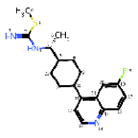 CSC(=N)N[C@H](C)C1CCC(c2ccnc3ccc(F)cc23)CC1